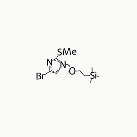 CSc1nc(Br)cn1COCC[Si](C)(C)C